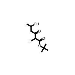 CC(O)CC(=O)C(Cl)C(=O)OC(C)(C)C